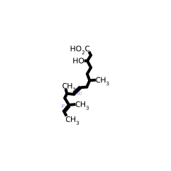 C/C=C(\C)CC(C)/C=C/CC(C)CCC(O)CC(=O)O